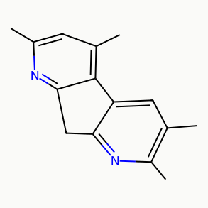 Cc1cc(C)c2c(n1)Cc1nc(C)c(C)cc1-2